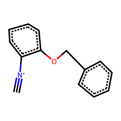 C#[N+]c1ccccc1OCc1ccccc1